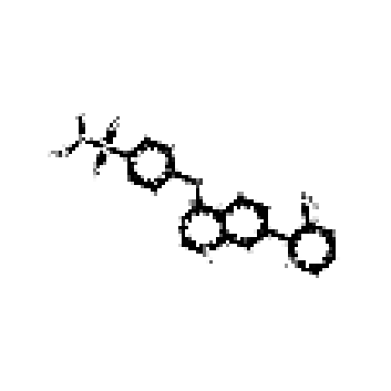 CCCCN(C)S(=O)(=O)c1ccc(Nc2ncnc3cc(-c4ncccc4C(F)(F)F)ccc23)cc1